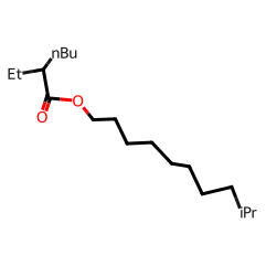 CCCCC(CC)C(=O)OCCCCCCCCC(C)C